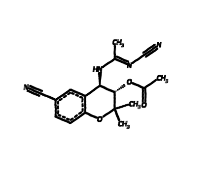 CC(=O)O[C@H]1[C@H](NC(C)=NC#N)c2cc(C#N)ccc2OC1(C)C